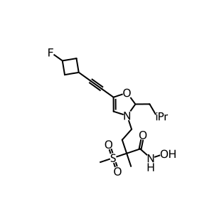 CC(C)CC1OC(C#CC2CC(F)C2)=CN1CCC(C)(C(=O)NO)S(C)(=O)=O